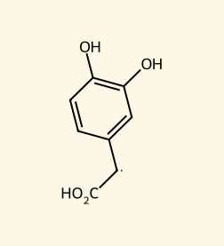 O=C(O)[CH]c1ccc(O)c(O)c1